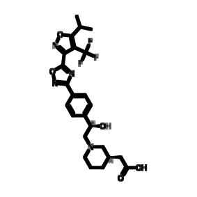 CC(C)c1onc(-c2nc(-c3ccc([C@@H](O)CN4CCC[C@H](CC(=O)O)C4)cc3)no2)c1C(F)(F)F